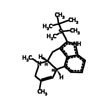 CC1=C[C@@H]2c3cccc4[nH]c([Si](C)(C)C(C)(C)C)c(c34)C[C@H]2N(C)C1